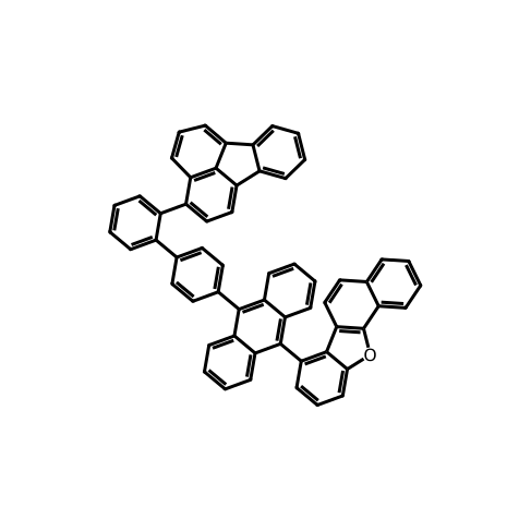 c1ccc(-c2ccc3c4c(cccc24)-c2ccccc2-3)c(-c2ccc(-c3c4ccccc4c(-c4cccc5oc6c7ccccc7ccc6c45)c4ccccc34)cc2)c1